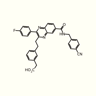 N#Cc1ccc(CNC(=O)c2ccc3nc(-c4ccc(F)cc4)c(CCc4cccc(CC(=O)O)c4)nc3c2)cc1